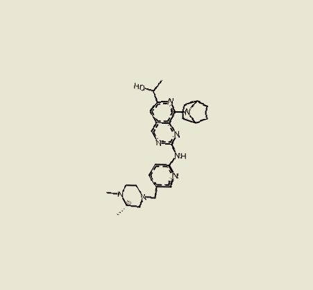 CC(O)c1cc2cnc(Nc3ccc(CN4CCN(C)[C@@H](C)C4)cn3)nc2c(N2C3CCC2CC3)n1